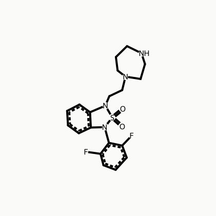 O=S1(=O)N(CCN2CCCNCC2)c2ccccc2N1c1c(F)cccc1F